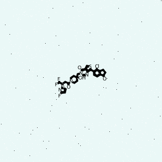 O=C1CCc2c1ccc(-c1scc3c(=O)n(CC4(O)CCN(C(=O)CC(C(F)F)n5ccc(F)n5)CC4)cnc13)c2Cl